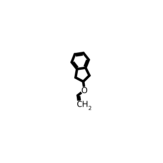 C=COC1Cc2ccccc2C1